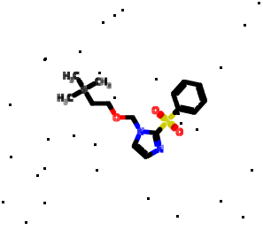 C[Si](C)(C)CCOCn1ccnc1S(=O)(=O)c1ccccc1